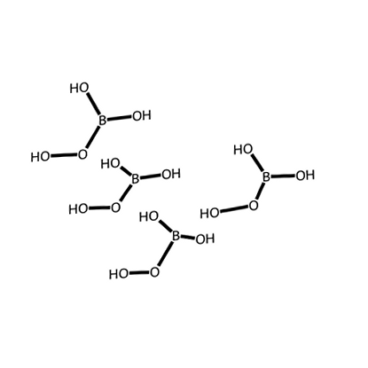 OOB(O)O.OOB(O)O.OOB(O)O.OOB(O)O